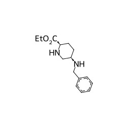 CCOC(=O)[C@H]1CC[C@@H](NCc2ccccc2)CN1